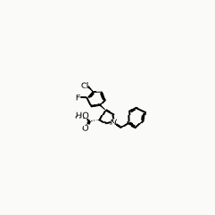 O=C(O)[C@H]1CN(Cc2ccccc2)C[C@@H]1c1ccc(Cl)c(F)c1